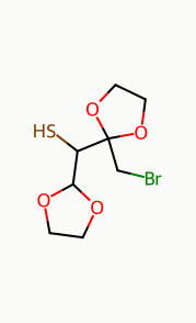 SC(C1OCCO1)C1(CBr)OCCO1